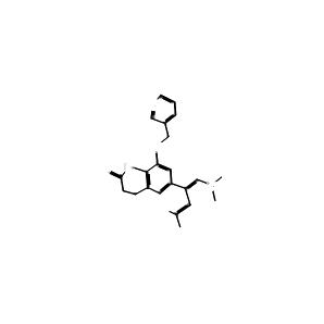 C/C(C=O)=C/C(=C\N(C)C)c1cc2c(c(OCc3cccnc3)c1)NC(=O)CC2